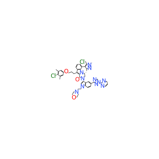 Cc1cc(OCCCc2c3n(c4c(-c5c(C)nn(C)c5C)c(Cl)ccc24)[C@H](C)CN(c2cn(CCN4CCOCC4)c4ccc(-c5ncn(-c6ncccn6)n5)cc24)C3=O)cc(C)c1Cl